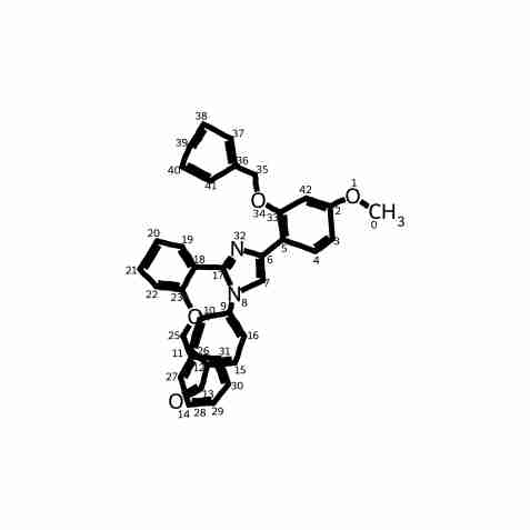 COc1ccc(-c2cn(-c3ccc(C=O)cc3)c(-c3ccccc3OCc3ccccc3)n2)c(OCc2ccccc2)c1